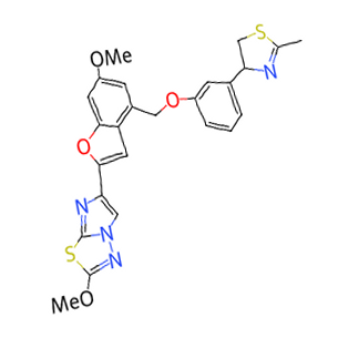 COc1cc(COc2cccc(C3CSC(C)=N3)c2)c2cc(-c3cn4nc(OC)sc4n3)oc2c1